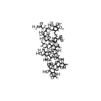 COc1cc(SSc2ncccc2[N+](=O)[O-])c(CN[C@@H](CCC(N)=O)C(=O)N[C@@H](C)C(=O)N[C@@H](CC(C)C)C(=O)N[C@@H](CC(C)C)C(=O)N[C@H](C(=O)N[C@@H](CC(=O)N[C@@H]2OC(CO)[C@@H](O[C@@H]3OC(CO)[C@@H](O)[C@H](O)C3NC(C)=O)[C@H](O)C2NC(C)=O)C(=O)N[C@@H](CO)C(=O)N[C@@H](CO)C(N)=O)C(C)C)c(OC)c1OC